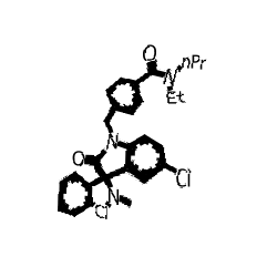 CCCN(CC)C(=O)c1ccc(CN2C(=O)C(c3ccccc3Cl)(N(C)C)c3cc(Cl)ccc32)cc1